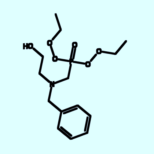 CCOOP(=O)(CN(CCO)Cc1ccccc1)OOCC